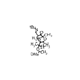 CCC(C)(OC(C)C(=O)C(C)(CC)OC(C)OC)C(=O)C(C)/C=N/C(C)(C)C